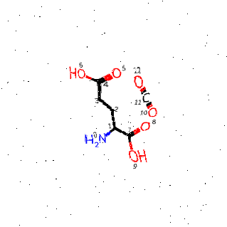 NC(CCC(=O)O)C(=O)O.O=C=O